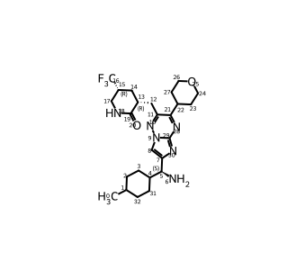 CC1CCC([C@H](N)c2cn3nc(C[C@H]4C[C@@H](C(F)(F)F)CNC4=O)c(C4CCOCC4)nc3n2)CC1